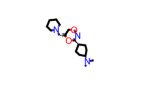 CN(C)[C@H]1CC[C@@H](C2=NOC[C@@H](CN3CCCCC3)O2)CC1